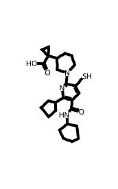 O=C(NC1CCCCC1)c1cc(S)c(N2CCCC(C3(C(=O)O)CC3)C2)nc1C1CCCC1